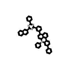 c1ccc(-c2ccc3c(c2)N(c2ccccc2)c2ccc(-c4cccc(-c5nc(-c6ccccc6)nc(-c6ccc7ccccc7c6)n5)c4)c4cccc-3c24)cc1